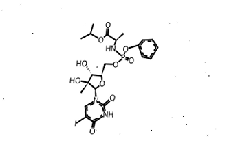 CC(C)OC(=O)[C@@H](C)NP(=O)(OC[C@H]1O[C@@H](n2cc(I)c(=O)[nH]c2=O)[C@](C)(O)[C@@H]1O)Oc1ccccc1